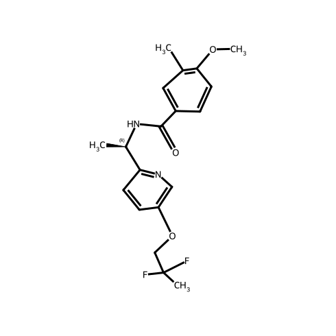 COc1ccc(C(=O)N[C@H](C)c2ccc(OCC(C)(F)F)cn2)cc1C